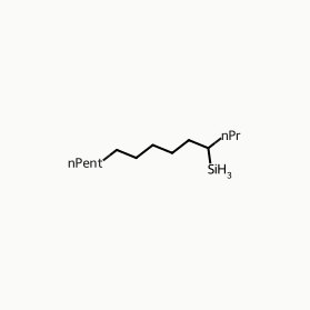 CCCCCCCCCCC([SiH3])CCC